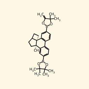 C=C1OB(c2ccc3c(c2)[C@]24CCC2CC[C@]4(C)c2cc(B4OC(C)(C)C(C)(C)O4)ccc2-3)OC1(C)C